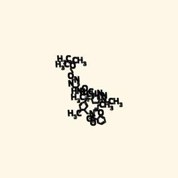 CC[C@@H]1CN(Cc2cc([C@@H](c3ccc4c(nnn4CC)c3C)C(C)(C)C(=O)Nc3cnc(OCCOC(C)(C)C)nc3)ccc2C)S(=O)(=O)c2ccccc2O1